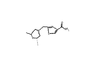 CC1CN(Cc2nc(C(N)=O)cs2)C[C@H](C)O1